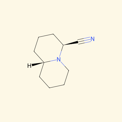 N#C[C@@H]1CCC[C@H]2CCCCN21